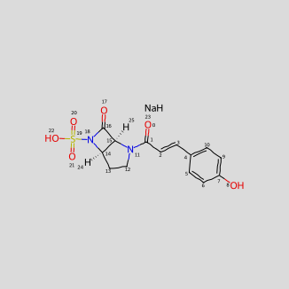 O=C(C=Cc1ccc(O)cc1)N1CC[C@@H]2[C@H]1C(=O)N2S(=O)(=O)O.[NaH]